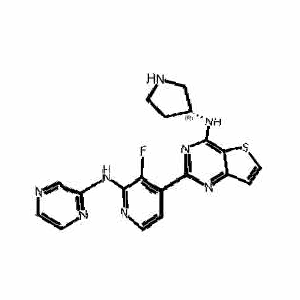 Fc1c(-c2nc(N[C@@H]3CCNC3)c3sccc3n2)ccnc1Nc1cnccn1